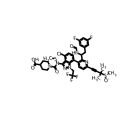 CSN(C(=O)N1CCC(C(=O)O)CC1)c1nn(CC(F)(F)F)c2c(-c3ccc(C#CC(C)(C)[S+](C)[O-])nc3C(Cc3cc(F)cc(F)c3)NC=O)ccc(Cl)c12